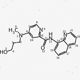 CN(CCCO)c1ccnc(C(=O)Nc2cccc3cccnc23)c1